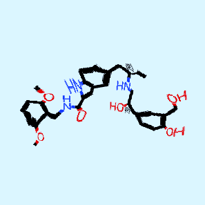 CC[C@H](Cc1ccc2[nH]c(C(=O)NCc3c(OC)cccc3OC)cc2c1)NC[C@H](O)c1ccc(O)c(CO)c1